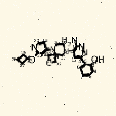 Nc1nnc(-c2ccccc2O)cc1N1CCN(c2ccnc(OC3CCC3)c2)C2(COC2)C1